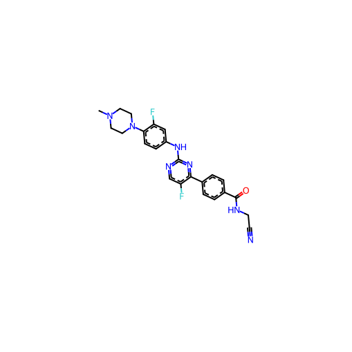 CN1CCN(c2ccc(Nc3ncc(F)c(-c4ccc(C(=O)NCC#N)cc4)n3)cc2F)CC1